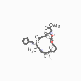 COC(=O)/C=C1\C[C@H]2CC(=O)O[C@@H](/C=C/c3ccccc3)[C@@H](C)/C=C/[C@H](C)C[C@H]3CCC[C@@H](C[C@@H](C1)O2)O3